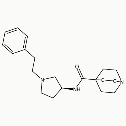 O=C(N[C@H]1CCN(CCc2ccccc2)C1)C12CCN(CC1)CC2